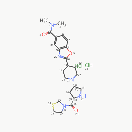 CN(C)C(=O)c1ccc2oc(C3CCN([C@@H]4CN[C@H](C(=O)N5CCSC5)C4)CC3)nc2c1.Cl.Cl